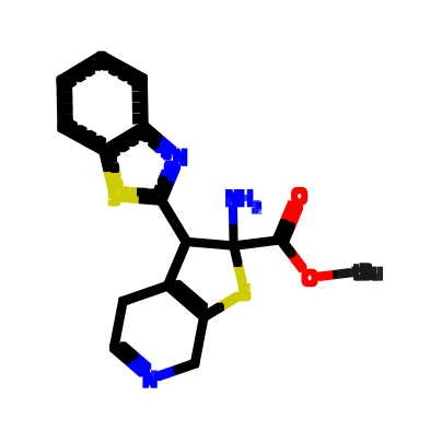 CC(C)(C)OC(=O)C1(N)SC2=C(CC=NC2)C1c1nc2ccccc2s1